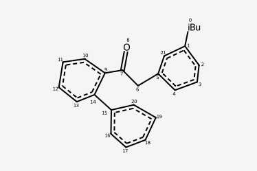 CCC(C)c1cccc(CC(=O)c2ccccc2-c2ccccc2)c1